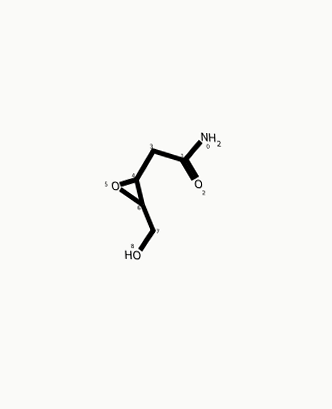 NC(=O)CC1OC1CO